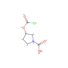 O=C(Cl)OC1CCN(C(=O)O)C1